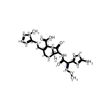 CO/N=C(/C(=O)NC1C(=O)N2C(C(=O)O)=C(CSc3nnnn3C)CS[C@H]12)c1nsc(N)n1